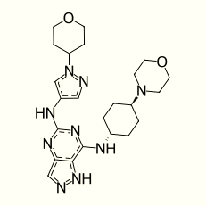 c1nn(C2CCOCC2)cc1Nc1nc(N[C@H]2CC[C@H](N3CCOCC3)CC2)c2[nH]ncc2n1